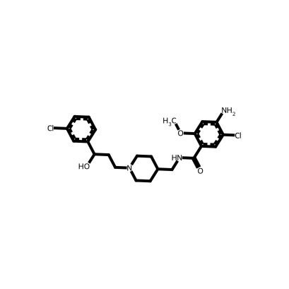 COc1cc(N)c(Cl)cc1C(=O)NCC1CCN(CCC(O)c2cccc(Cl)c2)CC1